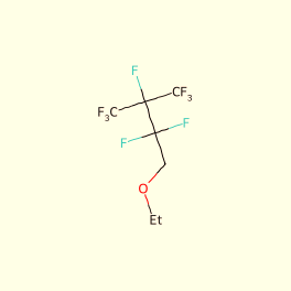 CCOCC(F)(F)C(F)(C(F)(F)F)C(F)(F)F